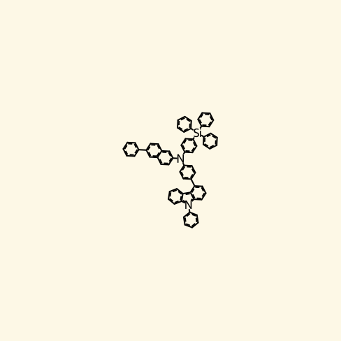 c1ccc(-c2ccc3cc(N(c4ccc(-c5cccc6c5c5ccccc5n6-c5ccccc5)cc4)c4ccc([Si](c5ccccc5)(c5ccccc5)c5ccccc5)cc4)ccc3c2)cc1